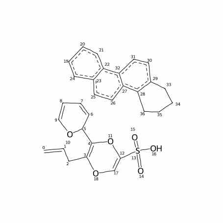 C=CCC1=C(C2C=CC=CO2)OC(S(=O)(=O)O)=CO1.c1ccc2c(c1)ccc1c3c(ccc12)CCCC3